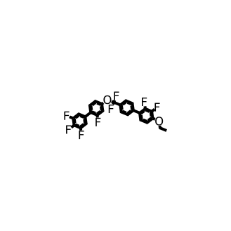 CCOc1ccc(-c2ccc(C(F)(F)Oc3ccc(-c4cc(F)c(F)c(F)c4)c(F)c3)cc2)c(F)c1F